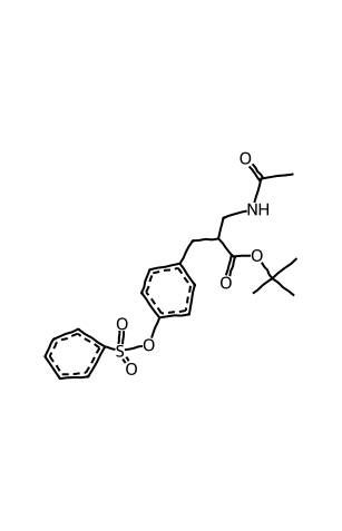 CC(=O)NCC(Cc1ccc(OS(=O)(=O)c2ccccc2)cc1)C(=O)OC(C)(C)C